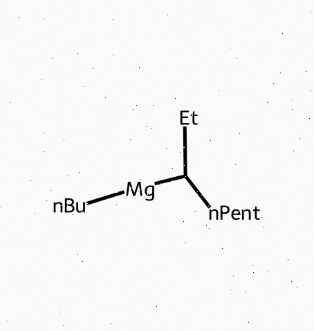 CCCCC[CH](CC)[Mg][CH2]CCC